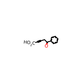 O=C(O)C#CCC(=O)c1ccccc1